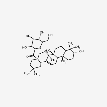 CC1(C)CC[C@]2(C(=O)[C@@H]3OC(CO)[C@@H](O)[C@H](O)C3O)CC[C@]3(C)C(=CCC4[C@@]5(C)CC[C@@H](O)C(C)(C)C5CC[C@]43C)C2C1